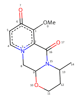 COc1c2n(ccc1=O)CC1OCCC(C)N1C2=O